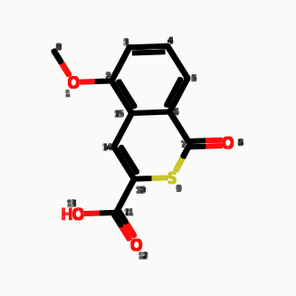 COc1cccc2c(=O)sc(C(=O)O)cc12